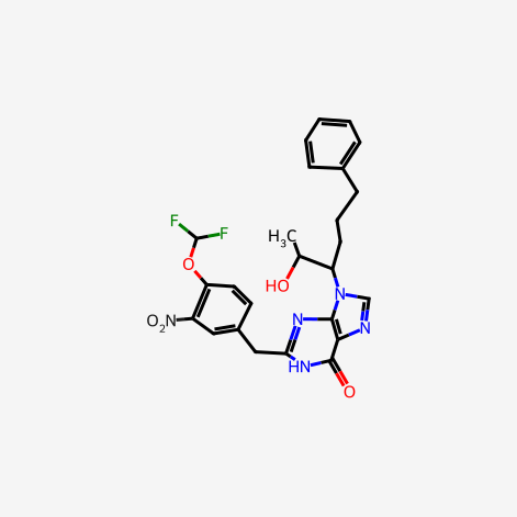 CC(O)C(CCCc1ccccc1)n1cnc2c(=O)[nH]c(Cc3ccc(OC(F)F)c([N+](=O)[O-])c3)nc21